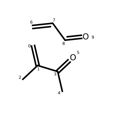 C=C(C)C(C)=O.C=CC=O